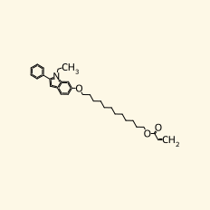 C=CC(=O)OCCCCCCCCCCCCOc1ccc2cc(-c3ccccc3)n(CC)c2c1